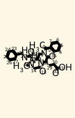 C[C@H](c1ccccc1)N1C[C@H]2N(C(=O)CN(C)N2C(=O)NCc2ccccc2)[C@@H](CCC(=O)O)C1=O